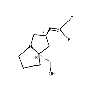 OC[C@]12CCCN1C[C@@H](C=C(F)F)C2